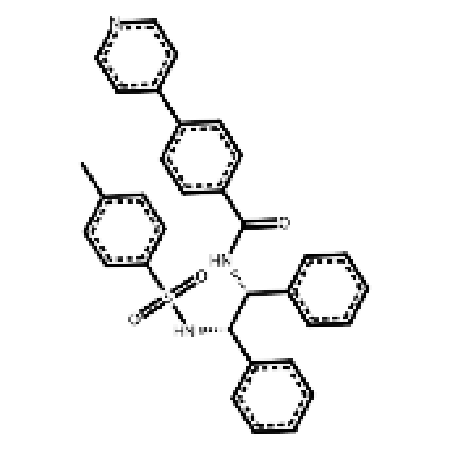 Cc1ccc(S(=O)(=O)N[C@@H](c2ccccc2)[C@H](NC(=O)c2ccc(-c3ccncc3)cc2)c2ccccc2)cc1